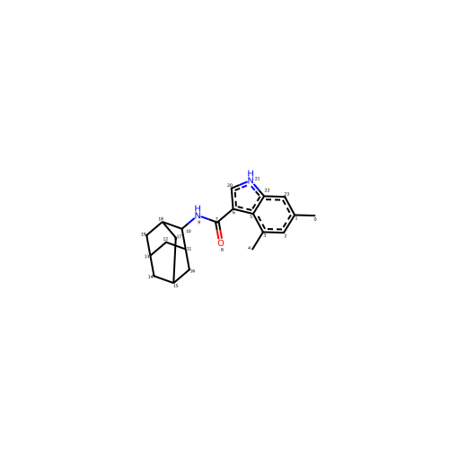 Cc1cc(C)c2c(C(=O)NC3C4CC5CC(C4)CC3C5)c[nH]c2c1